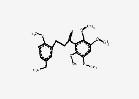 CCc1ccc(OC)c(CCC(=O)c2c(OC)c(OC)cc(OC)c2OC)c1